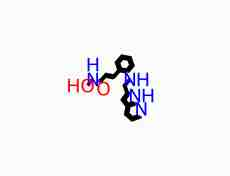 O=C(C=Cc1ccccc1NCc1cc2cccnc2[nH]1)NO